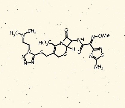 CON=C(C(=O)NC1C(=O)N2C(C(=O)O)=C(CSc3nnnn3CCN(C)C)CS[C@@H]12)c1nsc(N)n1